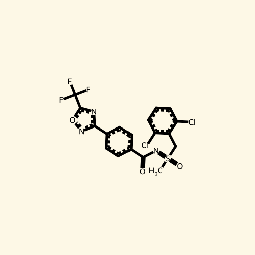 CS(=O)(Cc1c(Cl)cccc1Cl)=NC(=O)c1ccc(-c2noc(C(F)(F)F)n2)cc1